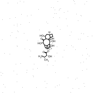 C[C@H](N)[C@@H](O)C(=O)O[C@@H]1CC2[C@@H](O)C(=O)C3[C@H]([C@H](O)[C@](O)(C1)C2(C)C)[C@]1(O)CC[C@@H]1C[C@@H]3O